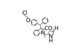 CC(C1CCCN1)n1c(C(=O)O)c(C(c2ccccc2)c2ccc(OCCCl)cc2)c2ccccc21